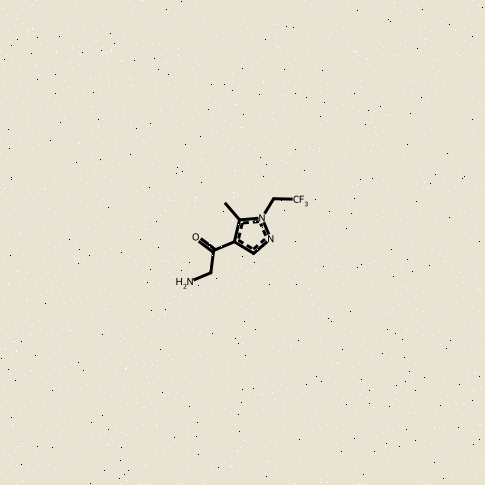 Cc1c(C(=O)CN)cnn1CC(F)(F)F